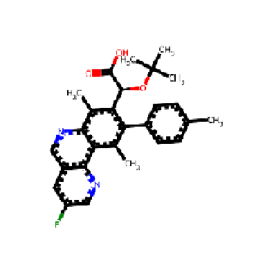 Cc1ccc(-c2c([C@H](OC(C)(C)C)C(=O)O)c(C)c3ncc4cc(F)cnc4c3c2C)cc1